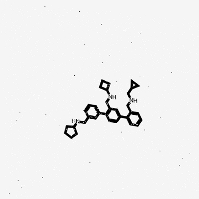 [c]1ccc(-c2ccc(-c3ccccc3CNCC3CC3)cc2CNC2CCC2)cc1CNC1CCCC1